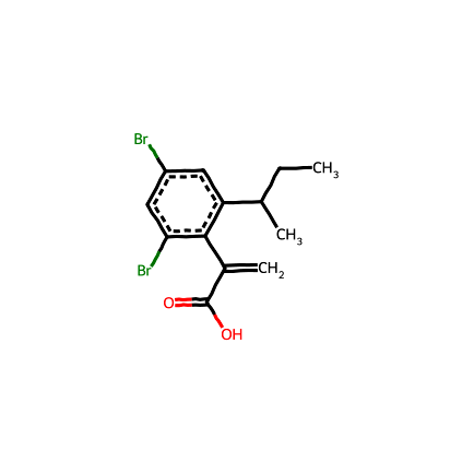 C=C(C(=O)O)c1c(Br)cc(Br)cc1C(C)CC